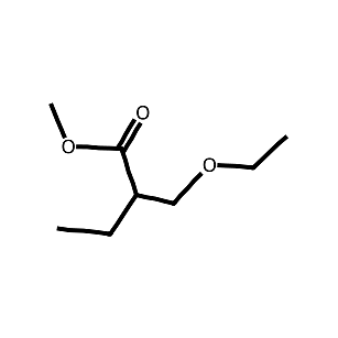 CCOCC(CC)C(=O)OC